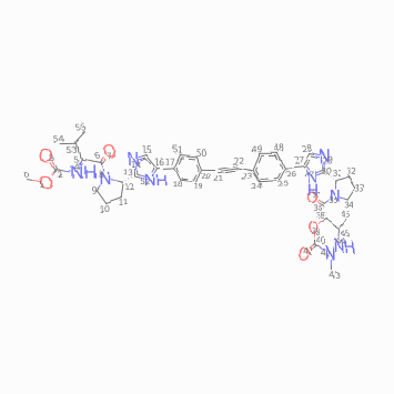 COC(=O)N[C@H](C(=O)N1CCC[C@H]1c1ncc(-c2ccc(C#Cc3ccc(-c4cnc([C@@H]5CCCN5C(=O)[C@H]5OC(=O)N(C)NC5C)[nH]4)cc3)cc2)[nH]1)C(C)C